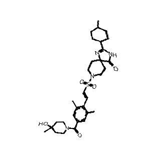 Cc1cc(C(=O)N2CCC(C)(O)CC2)cc(C)c1C=CS(=O)(=O)N1CCC2(CC1)N=C(C1CCC(C)CC1)NC2=O